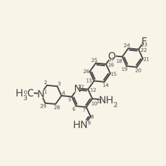 CN1CCC(c2cc(C=N)c(N)c(-c3ccc(Oc4cccc(F)c4)cc3)n2)CC1